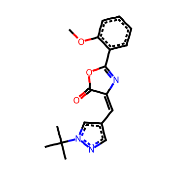 COc1ccccc1C1=N/C(=C/c2cnn(C(C)(C)C)c2)C(=O)O1